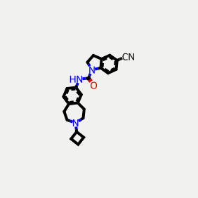 N#Cc1ccc2c(c1)CCN2C(=O)Nc1ccc2c(c1)CCN(C1CCC1)CC2